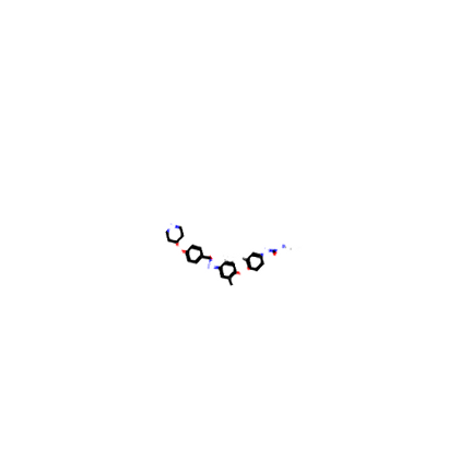 CCCCCNC(=O)Nc1ccc(Oc2ccc(NC(=O)c3ccc(OC4CCNCC4)cc3)cc2C)c(OC)c1